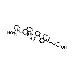 Cc1c(Nc2nccc3cc(CN4CCCCC4C(=O)O)cnc23)cccc1-c1cccc(OCCCN2CCC(O)C2)c1C